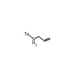 C=CC[SiH2][Te]